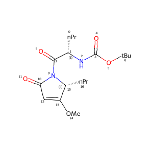 CCC[C@H](NC(=O)OC(C)(C)C)C(=O)N1C(=O)C=C(OC)[C@H]1CCC